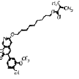 C=C(C)C(=O)OCCCCCCCCCOc1cc2cc(-c3ccc(CC)c(OC(F)(F)F)c3)c(=O)oc2cn1